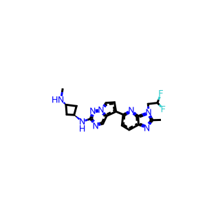 CN[C@H]1C[C@@H](Nc2ncc3c(-c4ccc5nc(C)n(CC(F)F)c5n4)ccn3n2)C1